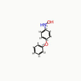 ONc1ccc(Oc2ccccc2)cc1